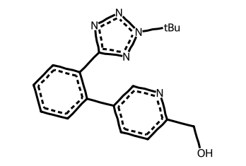 CC(C)(C)n1nnc(-c2ccccc2-c2ccc(CO)nc2)n1